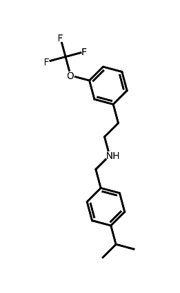 CC(C)c1ccc(CNCCc2cccc(OC(F)(F)F)c2)cc1